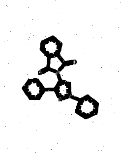 O=C1c2ccccc2C(=O)N1c1cn(-c2ccccc2)nc1-c1ccccc1